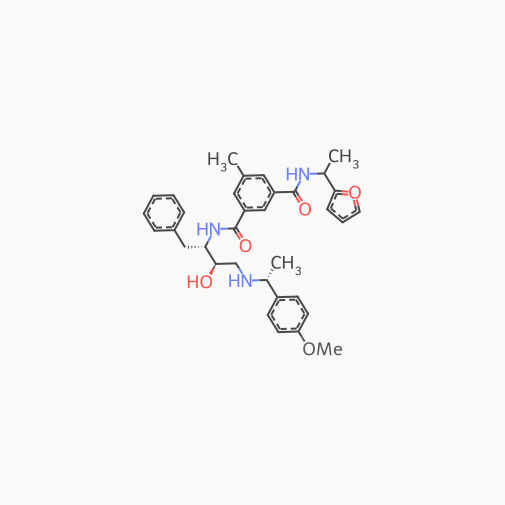 COc1ccc([C@@H](C)NC[C@@H](O)[C@H](Cc2ccccc2)NC(=O)c2cc(C)cc(C(=O)NC(C)c3ccco3)c2)cc1